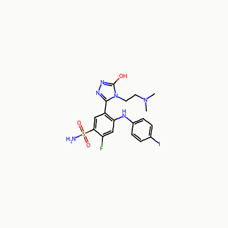 CN(C)CCn1c(O)nnc1-c1cc(S(N)(=O)=O)c(F)cc1Nc1ccc(I)cc1